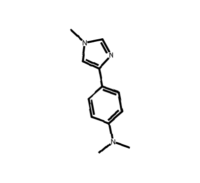 CN(C)c1ccc(-c2cn(C)cn2)cc1